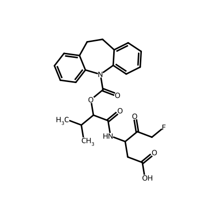 CC(C)C(OC(=O)N1c2ccccc2CCc2ccccc21)C(=O)NC(CC(=O)O)C(=O)CF